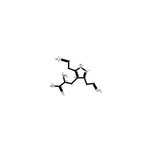 C=CCc1n[nH]c(CC=C)c1CC(N)C(=O)O